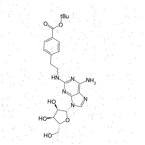 CC(C)(C)OC(=O)c1ccc(CCNc2nc(N)c3ncn([C@@H]4O[C@H](CO)[C@@H](O)[C@H]4O)c3n2)cc1